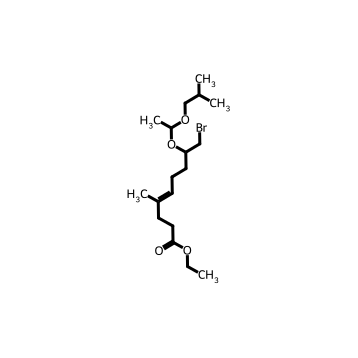 CCOC(=O)CCC(C)=CCCC(CBr)OC(C)OCC(C)C